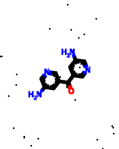 Nc1cncc(C(=O)c2cncc(N)c2)c1